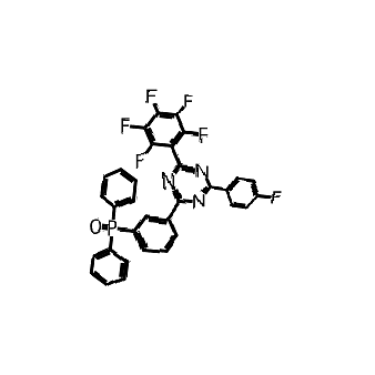 O=P(c1ccccc1)(c1ccccc1)c1cccc(-c2nc(-c3ccc(F)cc3)nc(-c3c(F)c(F)c(F)c(F)c3F)n2)c1